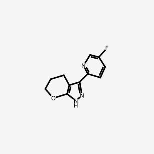 Fc1ccc(-c2n[nH]c3c2CCCO3)nc1